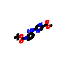 COC(=O)c1cnc(NC2CC3CC2N(C(=O)OC(C)(C)C)C3)cn1